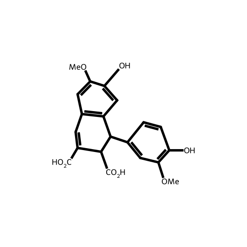 COc1cc(C2c3cc(O)c(OC)cc3C=C(C(=O)O)C2C(=O)O)ccc1O